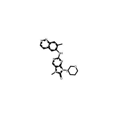 Cc1cc2nnccc2cc1Nc1ncc2c(n1)n([C@@H]1CCCOC1)c(=O)n2C